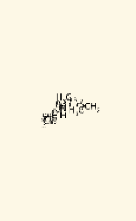 CC(C)=CCC/C(C)=C/CNC(=O)COC1C2CC3CC(C2)CC1C3